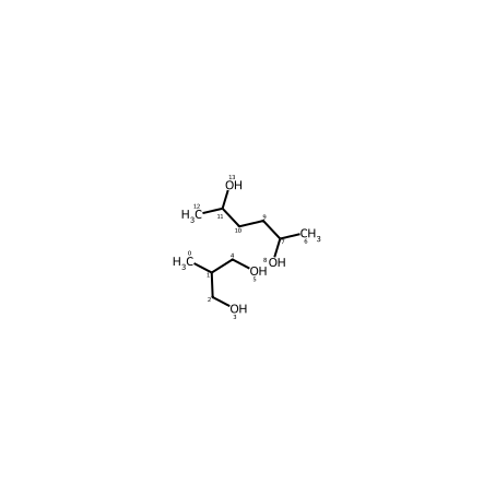 CC(CO)CO.CC(O)CCC(C)O